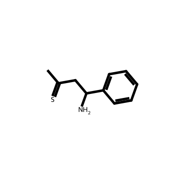 CC(=S)CC(N)c1ccccc1